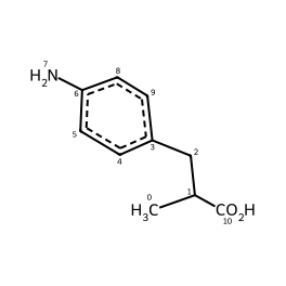 CC(Cc1ccc(N)cc1)C(=O)O